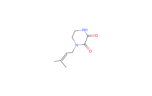 CC(C)=CCN1CCNC(=O)C1=O